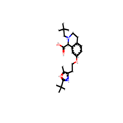 Cc1oc(C(C)(C)C)nc1CCOc1ccc2c(c1)C(C(=O)O)N(CC(C)(C)C)CC2